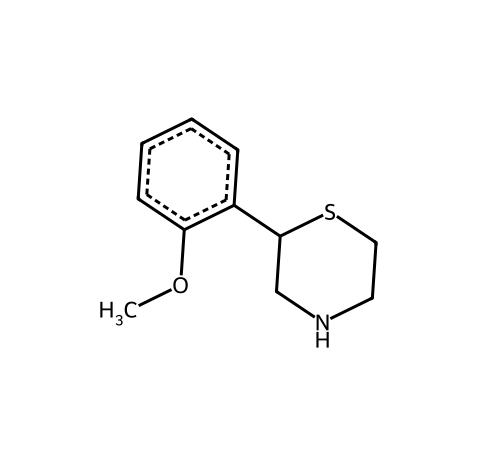 COc1ccccc1C1CNCCS1